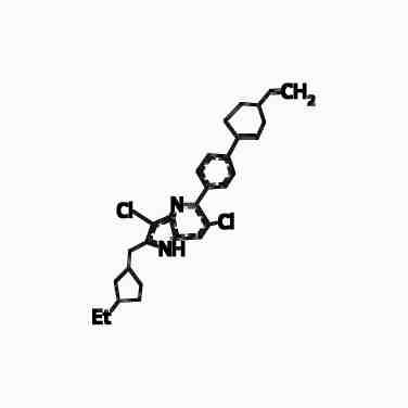 C=CC1CC=C(c2ccc(-c3nc4c(Cl)c(CC5CCC(CC)C5)[nH]c4cc3Cl)cc2)CC1